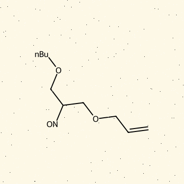 C=CCOCC(COCCCC)N=O